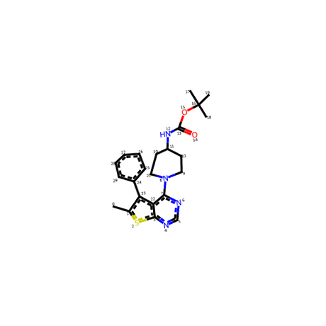 Cc1sc2ncnc(N3CCC(NC(=O)OC(C)(C)C)CC3)c2c1-c1ccccc1